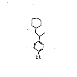 CCc1ccc(C(C)CC2CCCCC2)cc1